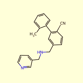 Cc1ccccc1-c1cc(CNCc2cccnc2)ccc1C#N